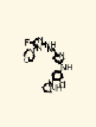 Fc1cnc(N/N=C/c2ccc(Nc3ccc(N4CCCCN4)c(Cl)c3)cn2)nc1N1CCOCC1